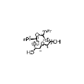 CCCC(OC(CCC)C(C)(C)C)C(C)(C)C.OCCOCCO